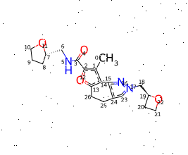 Cc1c(C(=O)NC[C@@H]2CCCO2)oc2c1-c1nn(C[C@@H]3CCO3)cc1CC2